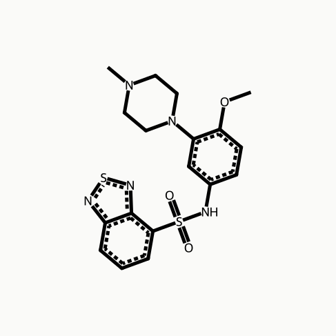 COc1ccc(NS(=O)(=O)c2cccc3nsnc23)cc1N1CCN(C)CC1